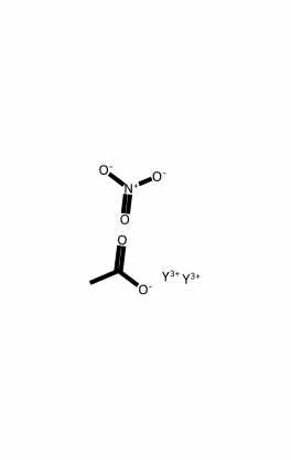 CC(=O)[O-].O=[N+]([O-])[O-].[Y+3].[Y+3]